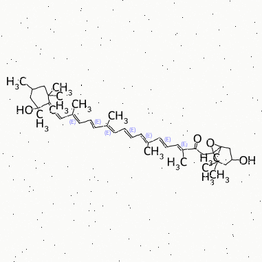 C\C(C=C=C1C(C)(C)CC(C)CC1(C)O)=C/C=C/C(C)=C/C=C/C=C(C)/C=C/C=C(\C)C(=O)CC12OC1(C)CC(O)CC2(C)C